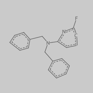 Fc1cccc(N(Cc2ccccc2)Cc2ccccc2)n1